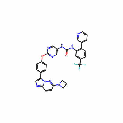 O=C(Nc1cnc(Oc2ccc(-c3cnc4ccc(N5CCC5)nn34)cc2)nc1)Nc1cc(C(F)(F)F)ccc1-c1cccnc1